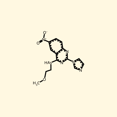 COCC[AsH]c1nc(-n2ccnc2)nc2ccc([N+](=O)[O-])cc12